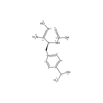 CC(O)c1ccc(C[C@H](NC(=O)O)/C(N)=N/O)cc1